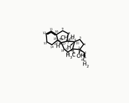 C=C[C@@]1(O)CC[C@H]2[C@@H]3CCC4=C=CCC[C@]4(C)[C@H]3CC[C@@]21C